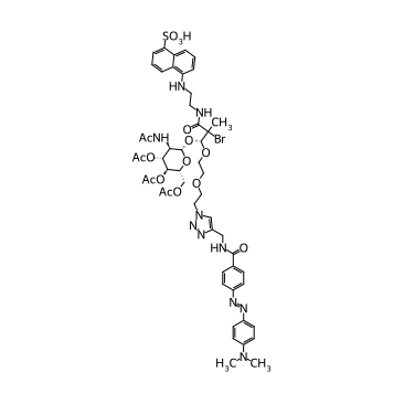 CC(=O)N[C@H]1[C@H](O[C@@H](OCCOCCn2cc(CNC(=O)c3ccc(/N=N/c4ccc(N(C)C)cc4)cc3)nn2)C(C)(Br)C(=O)NCCNc2cccc3c(S(=O)(=O)O)cccc23)O[C@H](COC(C)=O)[C@@H](OC(C)=O)[C@@H]1OC(C)=O